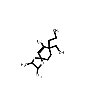 CCCC1(CO)CCC2(C=C1C)OC(C)C(C)O2